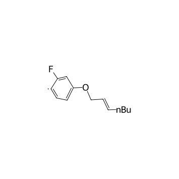 CCCC/C=C/COc1cc[c]c(F)c1